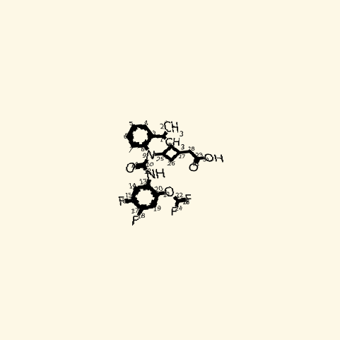 CC(C)c1ccccc1N(C(=O)Nc1cc(F)c(F)cc1OC(F)F)C1CC(CC(=O)O)C1